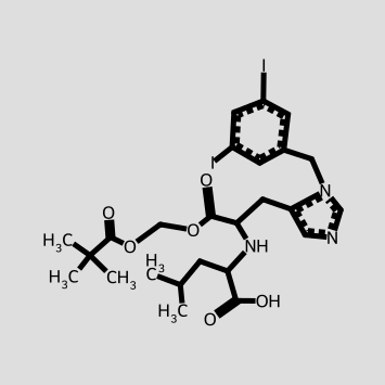 CC(C)CC(NC(Cc1cncn1Cc1cc(I)cc(I)c1)C(=O)OCOC(=O)C(C)(C)C)C(=O)O